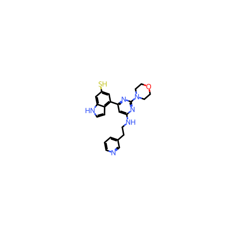 Sc1cc(-c2cc(NCCc3cccnc3)nc(N3CCOCC3)n2)c2cc[nH]c2c1